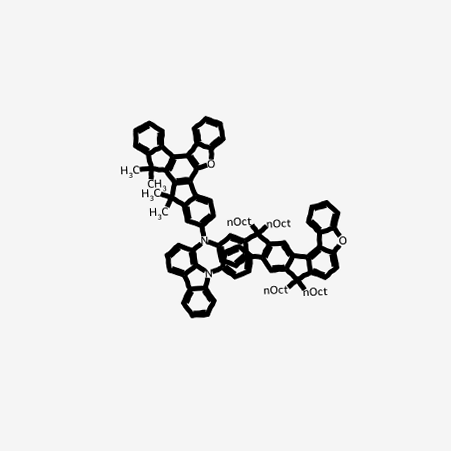 CCCCCCCCC1(CCCCCCCC)c2cc(N(c3ccc4c(c3)C(C)(C)c3c5c(c6c(oc7ccccc76)c3-4)-c3ccccc3C5(C)C)c3cccc4c5ccccc5n(-c5ccccc5)c34)ccc2-c2cc3c(cc21)-c1c(ccc2oc4ccccc4c12)C3(CCCCCCCC)CCCCCCCC